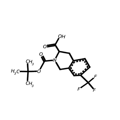 CC(C)(C)OC(=O)N1Cc2cc(C(F)(F)F)ccc2CC1C(=O)O